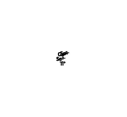 [Ga+3].[Se-2].[Se-2].[Tl+]